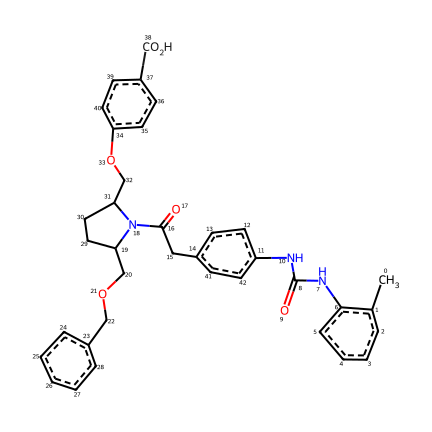 Cc1ccccc1NC(=O)Nc1ccc(CC(=O)N2C(COCc3ccccc3)CCC2COc2ccc(C(=O)O)cc2)cc1